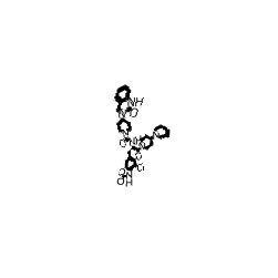 O=C(N[C@H](Cc1cc(Cl)c2[nH]c(=O)oc2c1)C(=O)N1CCC(N2CCCCC2)CC1)N1CCC(N2Cc3ccccc3NC2=O)CC1